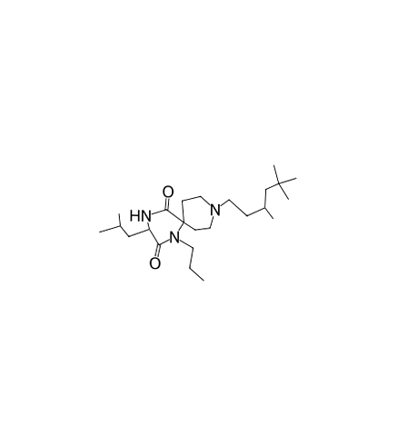 CCCN1C(=O)C(CC(C)C)NC(=O)C12CCN(CCC(C)CC(C)(C)C)CC2